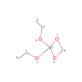 CCOC1(OCC)OCO1